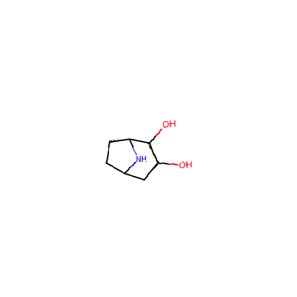 OC1CC2CCC(N2)C1O